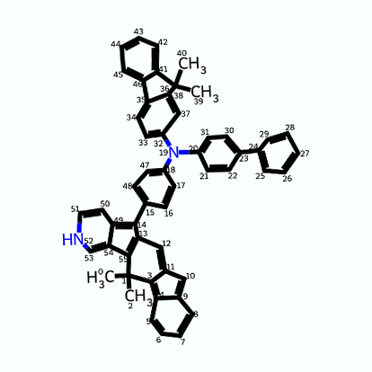 CC1(C)C2=c3ccccc3=CC2=Cc2c(-c3ccc(N(c4ccc(-c5ccccc5)cc4)c4ccc5c(c4)C(C)(C)c4ccccc4-5)cc3)c3cc[nH]cc-3c21